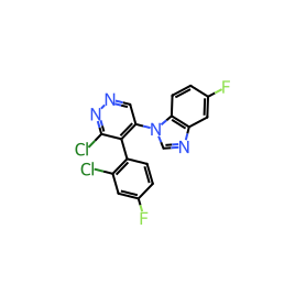 Fc1ccc(-c2c(-n3cnc4cc(F)ccc43)cnnc2Cl)c(Cl)c1